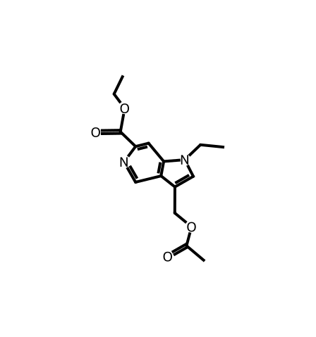 CCOC(=O)c1cc2c(cn1)c(COC(C)=O)cn2CC